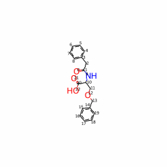 O=C(Cc1ccccc1)NC(COCc1ccccc1)C(=O)O